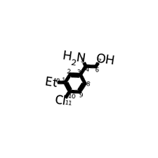 CCc1cc(C(N)CO)ccc1Cl